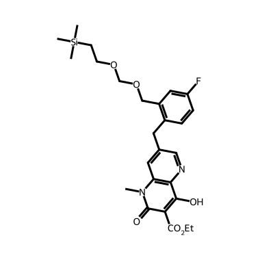 CCOC(=O)c1c(O)c2ncc(Cc3ccc(F)cc3COCOCC[Si](C)(C)C)cc2n(C)c1=O